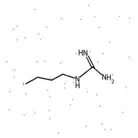 [CH]CCCNC(=N)N